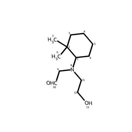 CC1(C)CCCCC1N(CC=O)CCO